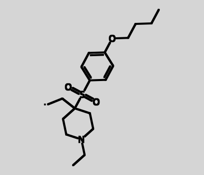 [CH2]CC1(S(=O)(=O)c2ccc(OCCCC)cc2)CCN(CC)CC1